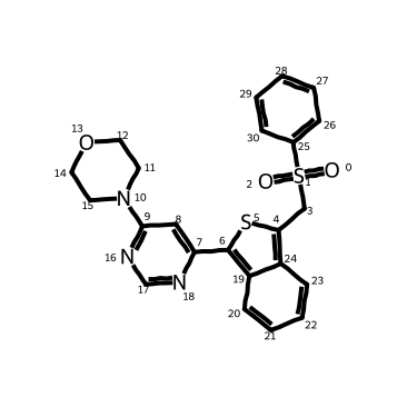 O=S(=O)(Cc1sc(-c2cc(N3CCOCC3)ncn2)c2ccccc12)c1ccccc1